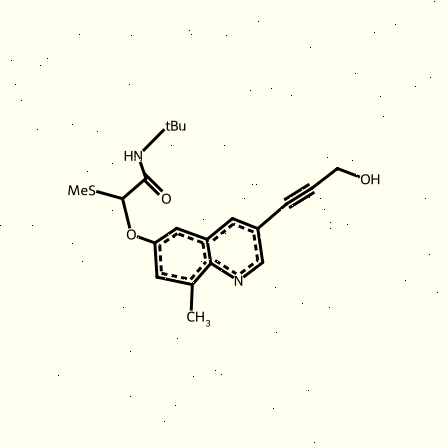 CSC(Oc1cc(C)c2ncc(C#CCO)cc2c1)C(=O)NC(C)(C)C